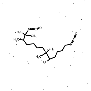 CC(CCCCN=C=O)C(C)(C)CCCCC(C)C(C)(C)N=C=O